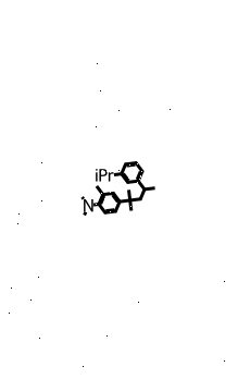 Cc1cc(C(C)(C)CC(C)c2cccc(C(C)C)c2)ccc1N(C)C